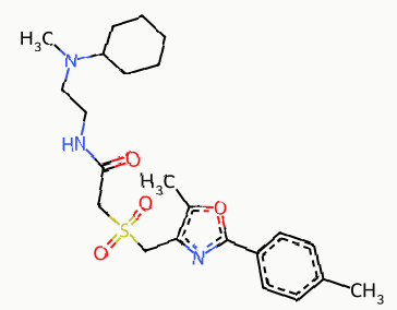 Cc1ccc(-c2nc(CS(=O)(=O)CC(=O)NCCN(C)C3CCCCC3)c(C)o2)cc1